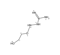 N=C(N)NNOCCO